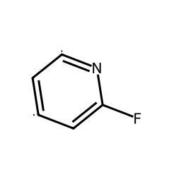 Fc1c[c]c[c]n1